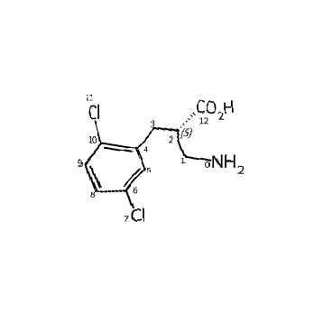 NC[C@H](Cc1cc(Cl)ccc1Cl)C(=O)O